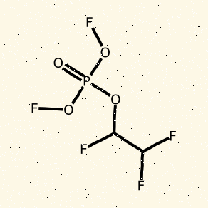 O=P(OF)(OF)OC(F)C(F)F